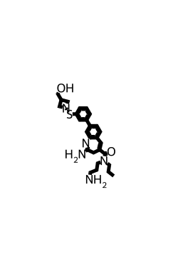 CCCN(CCCN)C(=O)C1=Cc2ccc(-c3cccc(SN4CC(CO)C4)c3)cc2N=C(N)C1